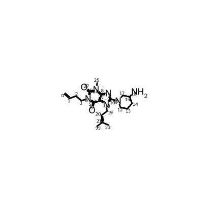 C=CCCn1c(=O)c2c(nc(N3CCCC(N)C3)n2CC=C(C)C)n(C)c1=O